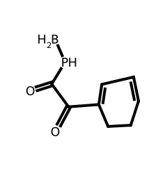 BPC(=O)C(=O)C1=CC=CCC1